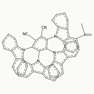 C=C(C)c1cccc2c1c1ccccc1n2-c1c(C#N)c(C#N)c(-n2c3ccccc3c3ccccc32)c(-n2c3ccccc3c3ccccc32)c1-n1c2ccccc2c2ccccc21